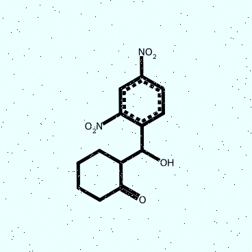 O=C1CCCCC1C(O)c1ccc([N+](=O)[O-])cc1[N+](=O)[O-]